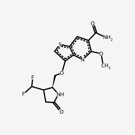 COc1nc2c(OC[C@H]3NC(=O)CC3C(F)F)csc2cc1C(N)=O